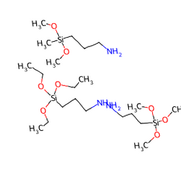 CCO[Si](CCCN)(OCC)OCC.CO[Si](C)(CCCN)OC.CO[Si](CCCN)(OC)OC